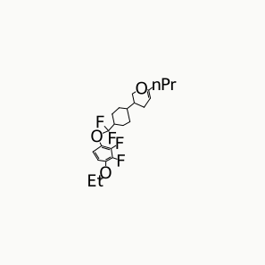 CCCC1=CCC(C2CCC(C(F)(F)Oc3ccc(OCC)c(F)c3F)CC2)CO1